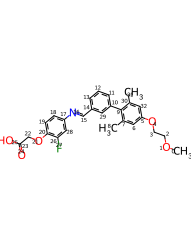 COCCOc1cc(C)c(-c2cccc(C=Nc3ccc(OCC(=O)O)c(F)c3)c2)c(C)c1